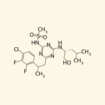 CC(C)C[C@H](CO)Nc1nc(CC(C)c2ccc(Cl)c(F)c2F)nc(NS(C)(=O)=O)n1